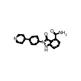 NC(=O)c1cccc2[nH]n(-c3ccc(-c4ccncc4)cc3)c(=O)c12